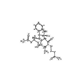 CC(=O)CCS[C@H]1C(=O)N2[C@H]3Nc4ccccc4C3[C@H](O)[C@]2(SCCC(C)=O)C(=O)N1C